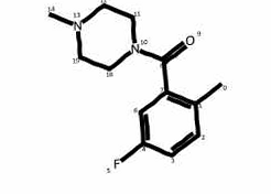 Cc1ccc(F)cc1C(=O)N1CCN(C)CC1